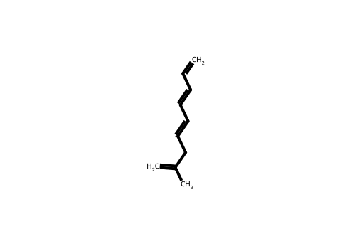 C=CC=C/C=[C]/CC(=C)C